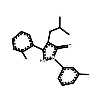 Cc1cccc(-n2[nH]c(-c3ccccc3C)c(CC(C)C)c2=O)c1